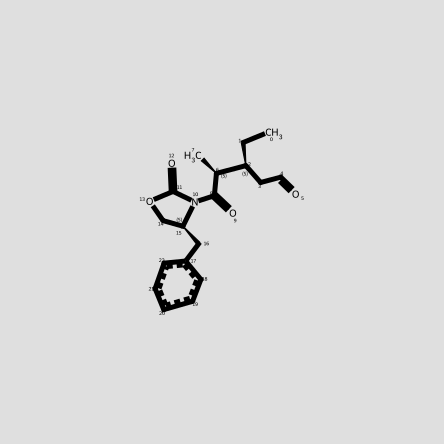 CC[C@@H](CC=O)[C@H](C)C(=O)N1C(=O)OC[C@@H]1Cc1ccccc1